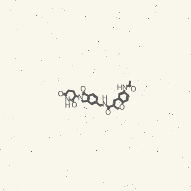 CC(=O)Nc1ccc2c(c1)C=C(C(=O)NCc1ccc3c(c1)CN(C1CCC(=O)NC1=O)C3=O)CO2